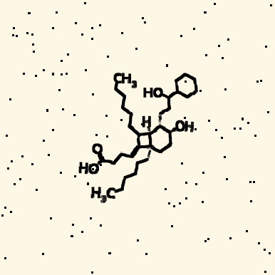 CCCCCCC1C(=CCCC(=O)O)[C@]2(CCCCCC)CC[C@H](O)[C@@H](CCC(O)C3CCCCC3)[C@H]12